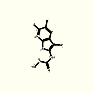 Cc1cc2c(Br)c(NC(=O)OC(C)(C)C)sc2nc1C